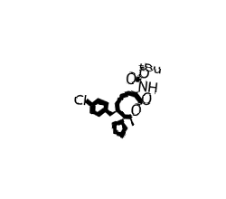 C[C@@H]1OC(=O)[C@@H](NC(=O)OC(C)(C)C)CCC[C@H](Cc2ccc(Cl)cc2)[C@H]1C1CCCC1